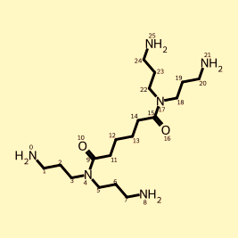 NCCCN(CCCN)C(=O)CCCCC(=O)N(CCCN)CCCN